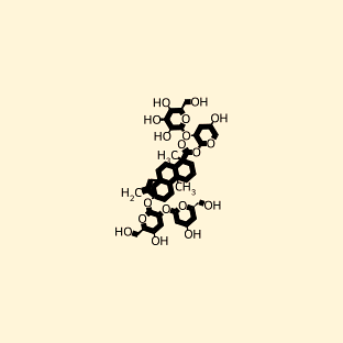 C=C1C[C@@]23CCC4[C@@](C)(CCC[C@@]4(C)C(=O)O[C@@H]4OC[C@@H](O)C[C@H]4O[C@@H]4O[C@H](CO)[C@@H](O)[C@H](O)[C@H]4O)C2CC[C@]1(OC1O[C@H](CO)[C@@H](O)CC1OC1C[C@@H](O)C[C@@H](CO)O1)C3